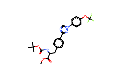 COC(=O)C(Cc1ccc(-c2ncn(-c3ccc(OC(F)(F)F)cc3)n2)cc1)NC(=O)OC(C)(C)C